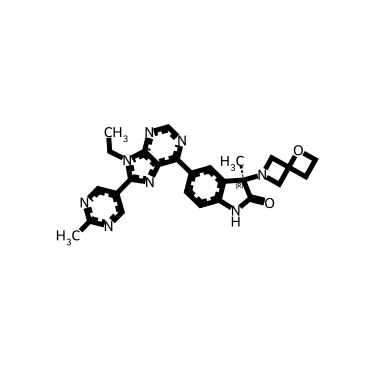 CCn1c(-c2cnc(C)nc2)nc2c(-c3ccc4c(c3)[C@@](C)(N3CC5(CCO5)C3)C(=O)N4)ncnc21